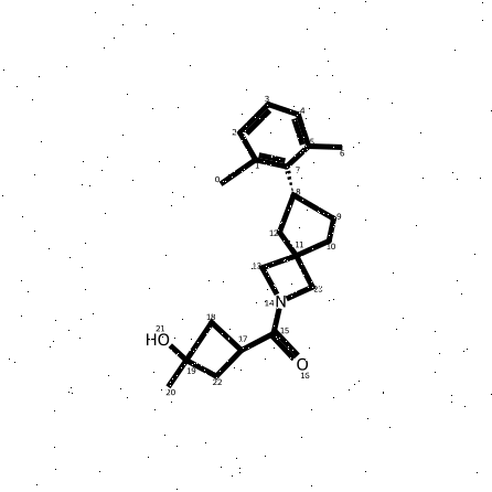 Cc1cccc(C)c1[C@@H]1CCC2(C1)CN(C(=O)C1CC(C)(O)C1)C2